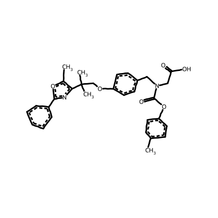 Cc1ccc(OC(=O)N(CC(=O)O)Cc2ccc(OCC(C)(C)c3nc(-c4ccccc4)oc3C)cc2)cc1